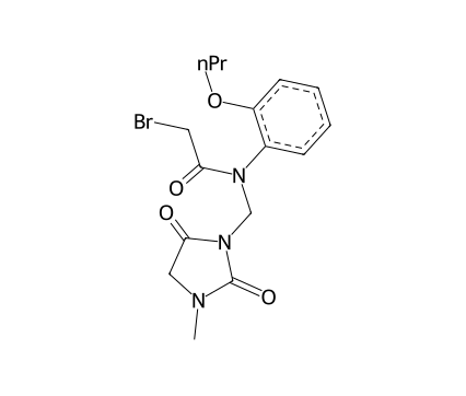 CCCOc1ccccc1N(CN1C(=O)CN(C)C1=O)C(=O)CBr